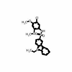 CCn1c2ccccc2c2cc(S(=O)(=O)Nc3cc(Cl)c(OC)cc3OC)ccc21